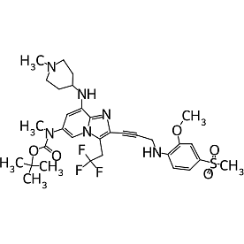 COc1cc(S(C)(=O)=O)ccc1NCC#Cc1nc2c(NC3CCN(C)CC3)cc(N(C)C(=O)OC(C)(C)C)cn2c1CC(F)(F)F